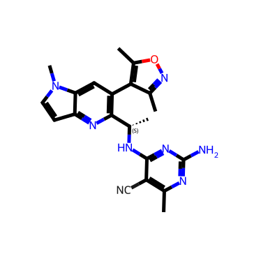 Cc1nc(N)nc(N[C@@H](C)c2nc3ccn(C)c3cc2-c2c(C)noc2C)c1C#N